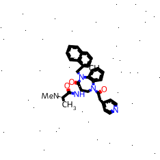 CN[C@@H](C)C(=O)N[C@H]1CN(C(=O)Cc2ccncc2)c2ccccc2N(Cc2c(C)ccc3ccccc23)C1=O